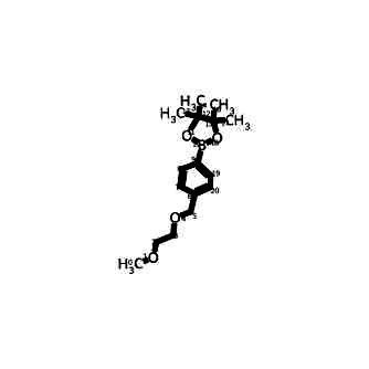 COCCOCc1ccc(B2OC(C)(C)C(C)(C)O2)cc1